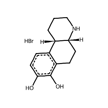 Br.Oc1ccc2c(c1O)CC[C@H]1NCCC[C@@H]21